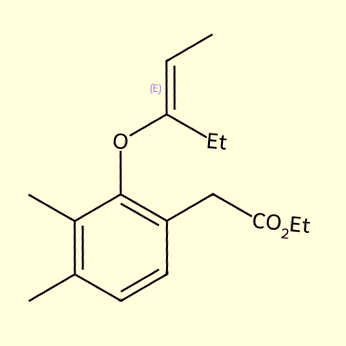 C/C=C(\CC)Oc1c(CC(=O)OCC)ccc(C)c1C